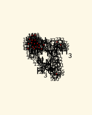 C[N+](c1ccccc1)=P(CCOc1ccccc1-c1c2nc(c(-c3ccccc3OCCP(c3ccccc3)(c3ccccc3)=[N+](C)c3ccccc3)c3ccc([nH]3)c(-c3ccccc3OCCP(c3ccccc3)(c3ccccc3)=[N+](C)c3ccccc3)c3nc(c(-c4ccccc4OCCP(c4ccccc4)(c4ccccc4)=[N+](C)c4ccccc4)c4ccc1[nH]4)C=C3)C=C2)(c1ccccc1)c1ccccc1